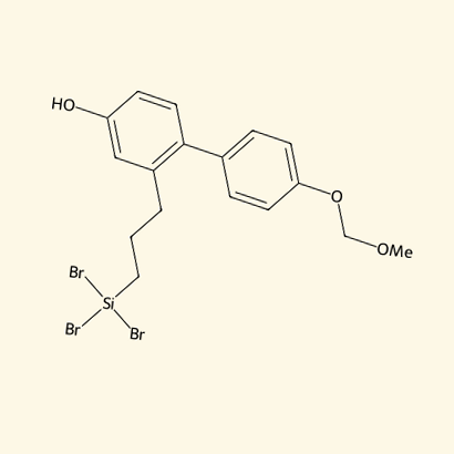 COCOc1ccc(-c2ccc(O)cc2CCC[Si](Br)(Br)Br)cc1